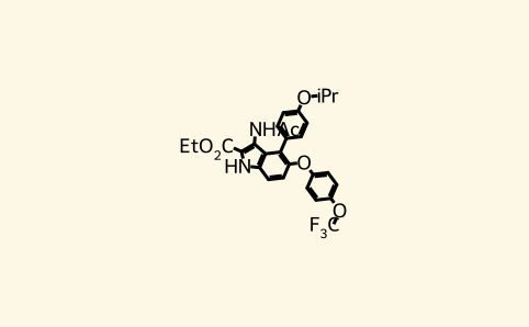 CCOC(=O)c1[nH]c2ccc(Oc3ccc(OC(F)(F)F)cc3)c(-c3ccc(OC(C)C)cc3)c2c1NC(C)=O